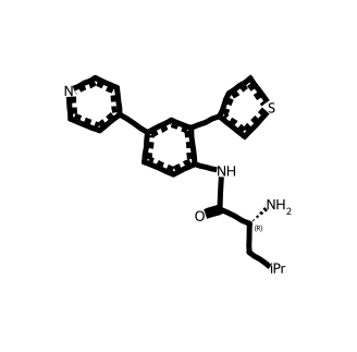 CC(C)C[C@@H](N)C(=O)Nc1ccc(-c2ccncc2)cc1-c1ccsc1